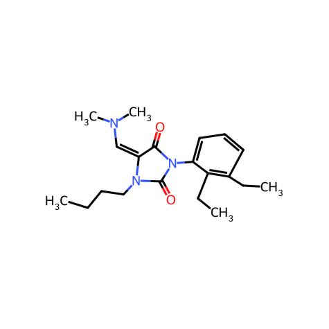 CCCCN1C(=O)N(c2cccc(CC)c2CC)C(=O)C1=CN(C)C